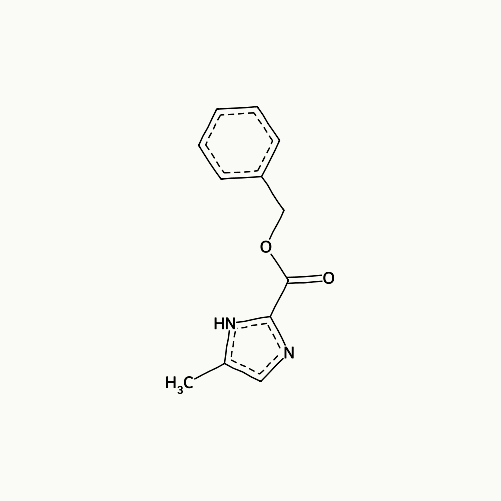 Cc1cnc(C(=O)OCc2ccccc2)[nH]1